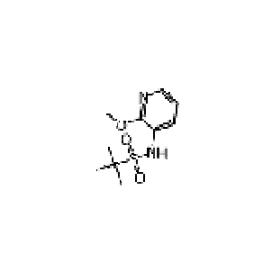 COc1ncccc1NS(=O)(=O)C(C)(C)C